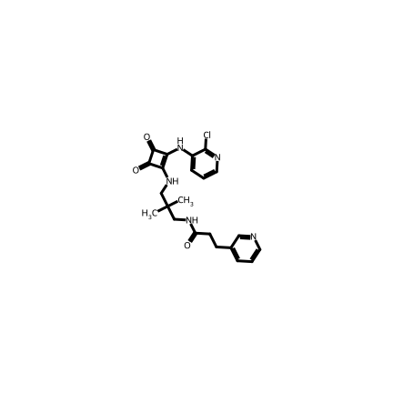 CC(C)(CNC(=O)CCc1cccnc1)CNc1c(Nc2cccnc2Cl)c(=O)c1=O